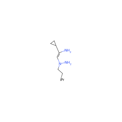 CC(C)CCN(N)/C=C(\N)C1CC1